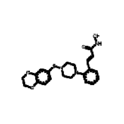 O=C(/C=C/c1ccccc1N1CCN(Sc2ccc3c(c2)OCCO3)CC1)NO